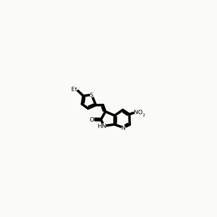 CCc1ccc(C=C2C(=O)Nc3ncc([N+](=O)[O-])cc32)s1